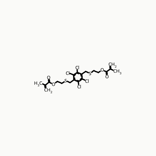 C=C(C)C(=O)OCCSCc1c(Cl)c(Cl)c(CSCCOC(=O)C(=C)C)c(Cl)c1Cl